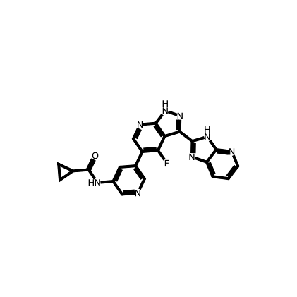 O=C(Nc1cncc(-c2cnc3[nH]nc(-c4nc5cccnc5[nH]4)c3c2F)c1)C1CC1